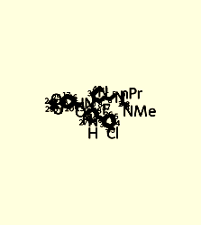 CCCN(CCNC)CCc1cc(NC2=C(OCc3ccc4c(c3)OC(C)(C)O4)N(C)NC(c3cc(Cl)ccc3F)=C2)ccn1